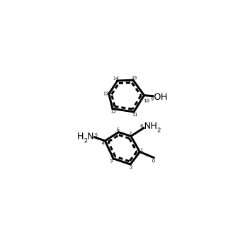 Cc1ccc(N)cc1N.Oc1ccccc1